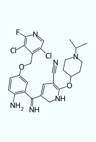 CC(C)N1CCC(OC2=C(C#N)C=C(C(=N)c3cc(OCc4c(Cl)cnc(F)c4Cl)ccc3N)CN2)CC1